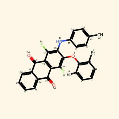 CCc1cccc(CC)c1Oc1c(F)c2c(c(F)c1Nc1ccc(C#N)cc1)C(=O)c1ccccc1C2=O